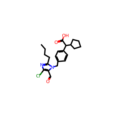 CCCCc1nc(Cl)c(C=O)n1Cc1ccc(C(C(=O)O)C2CCCC2)cc1